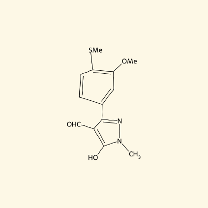 COc1cc(-c2nn(C)c(O)c2C=O)ccc1SC